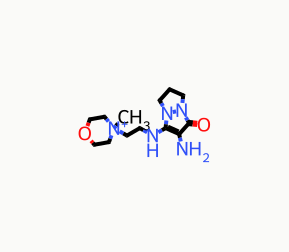 C[N+]1(CCNc2c(N)c(=O)n3n2CCC3)CCOCC1